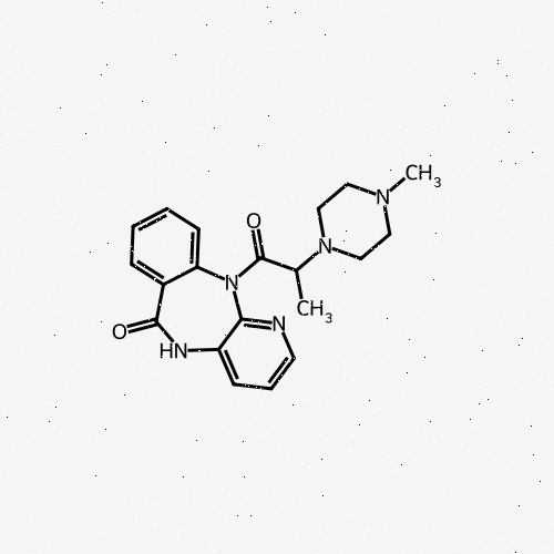 CC(C(=O)N1c2ccccc2C(=O)Nc2cccnc21)N1CCN(C)CC1